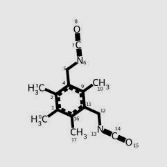 Cc1c(C)c(CN=C=O)c(C)c(CN=C=O)c1C